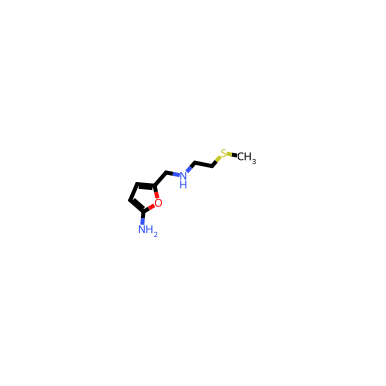 CSCCNCc1ccc(N)o1